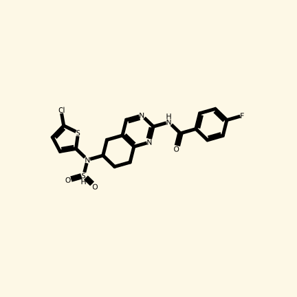 O=C(Nc1ncc2c(n1)CCC(N(c1ccc(Cl)s1)[SH](=O)=O)C2)c1ccc(F)cc1